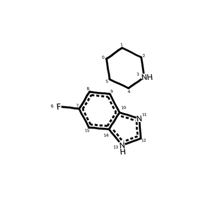 C1CCNCC1.Fc1ccc2nc[nH]c2c1